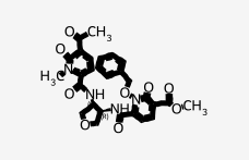 COC(=O)c1ccc(C(=O)N[C@H]2COC[C@H]2NC(=O)c2ccc(C(C)=O)c(=O)n2C)n(OCc2ccccc2)c1=O